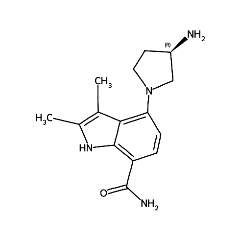 Cc1[nH]c2c(C(N)=O)ccc(N3CC[C@@H](N)C3)c2c1C